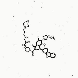 C[C@@H]1CCN(c2c(F)cc3c(=O)c(C(=O)N4CC[C@@H](NC(=O)CNCCCN5CCOCC5)C4)cn4c3c2Oc2cc3c(cc2-4)oc2ccccc23)C1